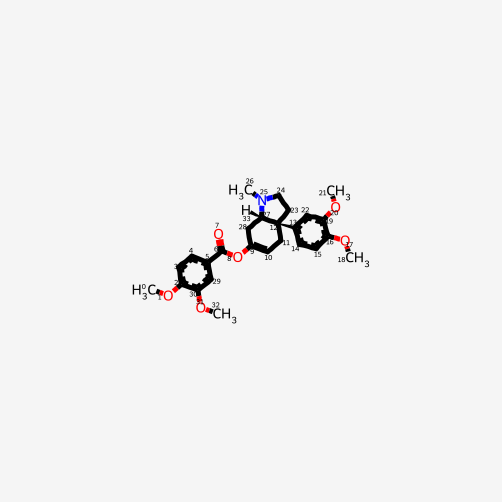 COc1ccc(C(=O)OC2=CC[C@@]3(c4ccc(OC)c(OC)c4)CCN(C)[C@H]3C2)cc1OC